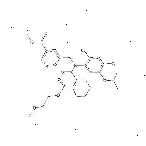 COCCOC(=O)C1=C(C(=O)N(Cc2cncc(C(=O)OC)c2)c2cc(OC(C)C)c(Cl)cc2Cl)CCCC1